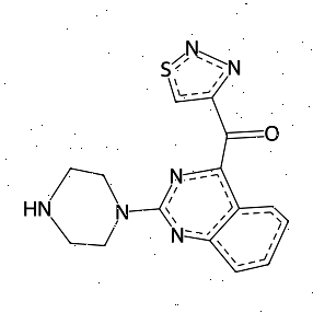 O=C(c1csnn1)c1nc(N2CCNCC2)nc2ccccc12